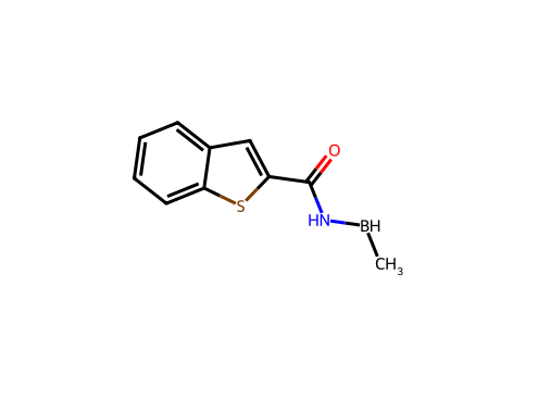 CBNC(=O)c1cc2ccccc2s1